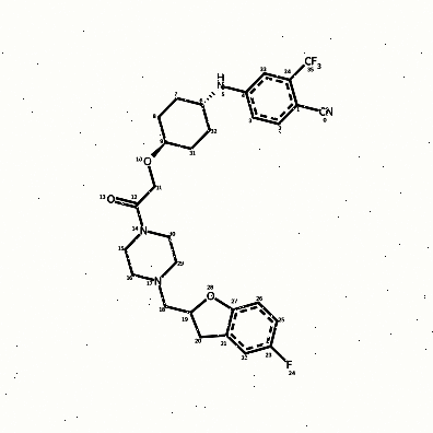 N#Cc1ccc(N[C@H]2CC[C@H](OCC(=O)N3CCN(CC4Cc5cc(F)ccc5O4)CC3)CC2)cc1C(F)(F)F